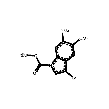 COc1cc2c(Br)cn(C(=O)OC(C)(C)C)c2cc1OC